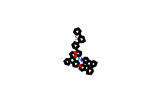 c1cc(-c2ccc(N(c3ccc4c(c3)C3(c5ccccc5-c5ccccc53)c3ccccc3-4)c3cccc4c5ccccc5c5ccccc5c34)cc2)cc(-c2cccc3c2sc2ccccc23)c1